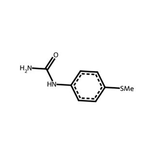 CSc1ccc(NC(N)=O)cc1